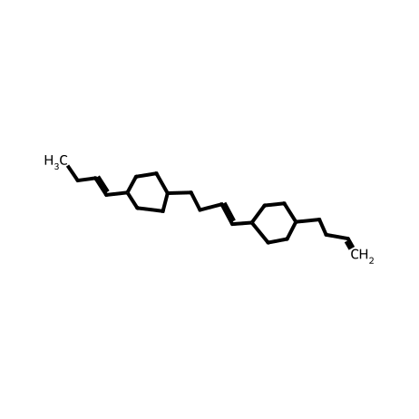 C=CCCC1CCC(C=CCCC2CCC(C=CCC)CC2)CC1